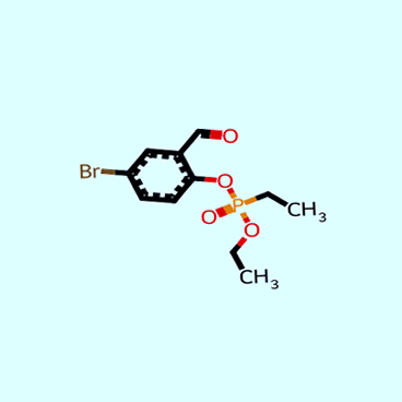 CCOP(=O)(CC)Oc1ccc(Br)cc1C=O